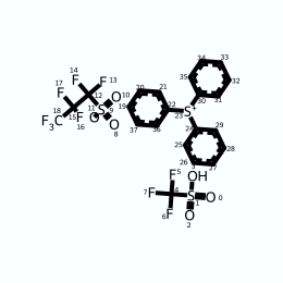 O=S(=O)(O)C(F)(F)F.O=S(=O)([O-])C(F)(F)C(F)(F)C(F)(F)F.c1ccc([S+](c2ccccc2)c2ccccc2)cc1